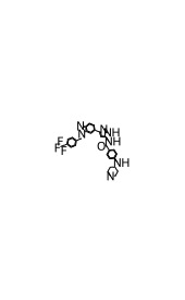 CN1CCC(Nc2ccc(C(=O)Nc3cc(-c4ccc5ncn(Cc6ccc(C(F)(F)F)cc6)c5c4)n[nH]3)cc2)CC1